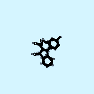 Cc1ccc2c3c(c(=O)[nH]c2c1)C(=O)c1ccccc1-3